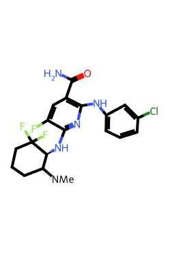 CNC1CCCC(F)(F)[C@H]1Nc1nc(Nc2cccc(Cl)c2)c(C(N)=O)cc1F